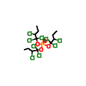 CCC(Cl)C(Cl)(Cl)OP(=O)(OC(Cl)(Cl)C(Cl)CC)OC(Cl)(Cl)C(Cl)CC